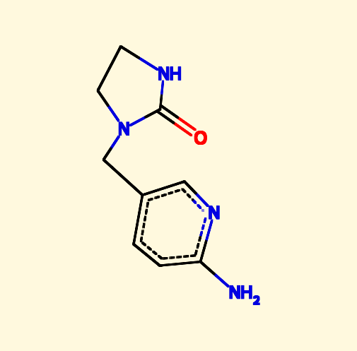 Nc1ccc(CN2CCNC2=O)cn1